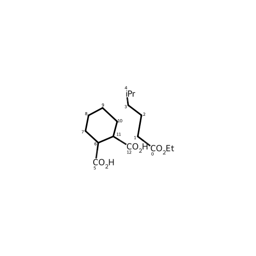 CCOC(=O)CCCC(C)C.O=C(O)C1CCCCC1C(=O)O